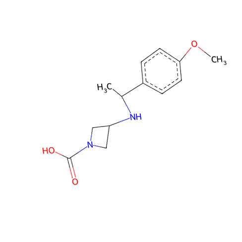 COc1ccc(C(C)NC2CN(C(=O)O)C2)cc1